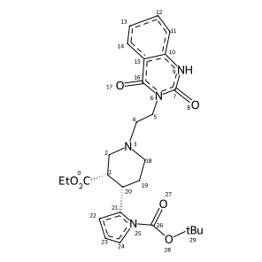 CCOC(=O)[C@@H]1CN(CCn2c(=O)[nH]c3ccccc3c2=O)CC[C@@H]1c1cccn1C(=O)OC(C)(C)C